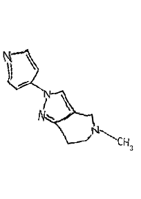 CN1CCc2nn(-c3ccncc3)cc2C1